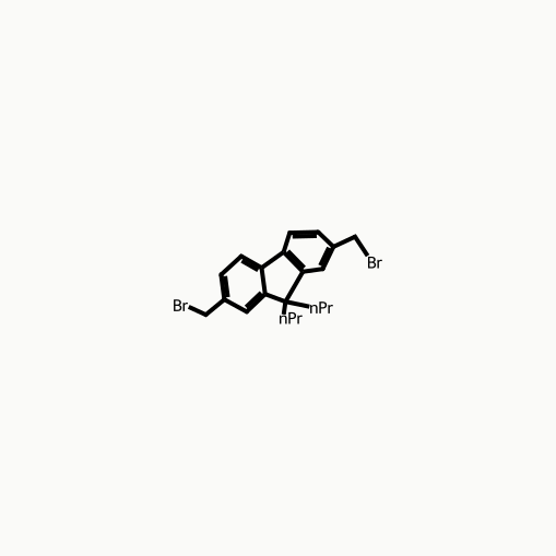 CCCC1(CCC)c2cc(CBr)ccc2-c2ccc(CBr)cc21